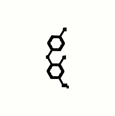 Nc1ccc(Oc2ccc(Cl)cc2)c(Cl)c1